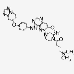 CN(C)CCCC(=O)N1CCN2C[C@@H]1COc1cc3ncnc(Nc4ccc(Oc5ccn6ncnc6c5)cc4)c3nc12